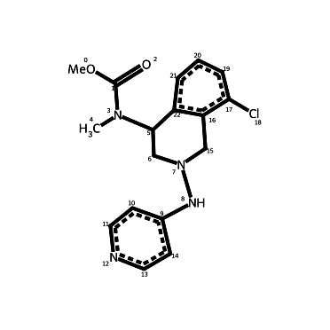 COC(=O)N(C)C1CN(Nc2ccncc2)Cc2c(Cl)cccc21